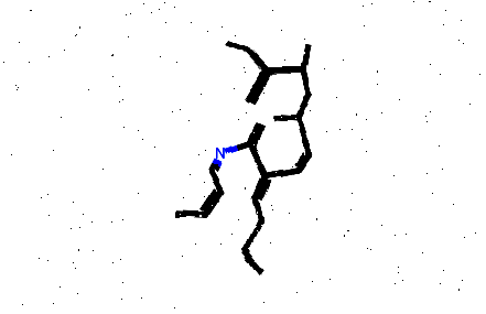 C=C(/N=C\C=C/C)C(/C=C\C(C)CC(C)C(=C)CC)=C/CCC